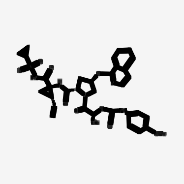 C=C[C@@H]1C[C@]1(NC(=O)[C@@H]1C[C@@H](Oc2nccc3ccccc23)CN1C(=O)[C@@H](OC(=O)Nc1ccc(OC)cc1)C(C)(C)C)C(=O)NS(=O)(=O)C1CC1